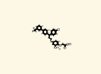 Cc1cc(SC/C=C(\c2ccc(Cl)cc2)c2ccc(-c3cccc(C(F)(F)F)c3)cc2)ccc1OCC(=O)O